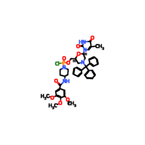 COc1cc(C(=O)NC2CCN(P(=O)(Cl)OC[C@@H]3CN(C(c4ccccc4)(c4ccccc4)c4ccccc4)C[C@H](n4cc(C)c(=O)[nH]c4=O)O3)CC2)cc(OC)c1OC